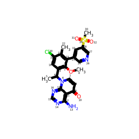 COc1c(C(C)n2ccc(=O)c3c(N)ncnc32)cc(Cl)c(C)c1-c1cncc(S(C)(=O)=O)c1